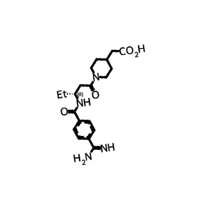 CC[C@H](CC(=O)N1CCC(CC(=O)O)CC1)NC(=O)c1ccc(C(=N)N)cc1